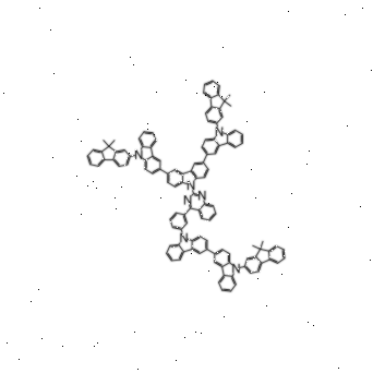 CC1(C)c2ccccc2-c2ccc(-n3c4ccccc4c4cc(-c5ccc6c(c5)c5ccccc5n6-c5cccc(-c6nc(-n7c8ccc(-c9ccc%10c(c9)c9ccccc9n%10-c9ccc%10c(c9)C(C)(C)c9ccccc9-%10)cc8c8cc(-c9ccc%10c(c9)c9ccccc9n%10-c9ccc%10c(c9)C(C)(C)c9ccccc9-%10)ccc87)nc7ccccc67)c5)ccc43)cc21